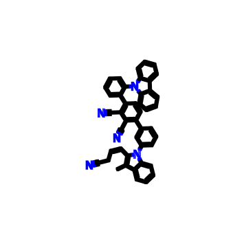 Cc1c(/C=C\CC#N)n(-c2cccc(-c3ccc(-c4ccccc4-n4c5ccccc5c5ccccc54)c(C#N)c3C#N)c2)c2ccccc12